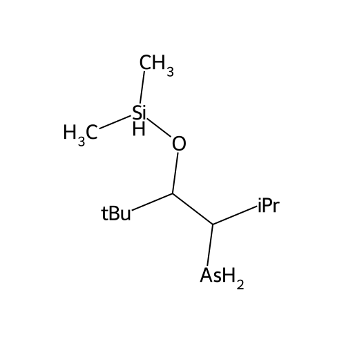 CC(C)C([AsH2])C(O[SiH](C)C)C(C)(C)C